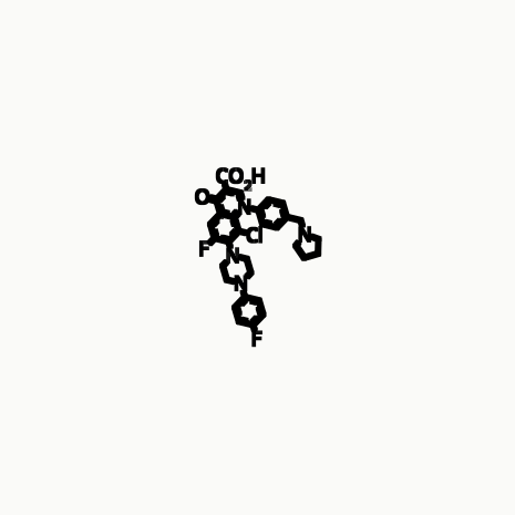 O=C(O)c1cn(-c2ccc(CN3CCCC3)cc2)c2c(Cl)c(N3CCN(c4ccc(F)cc4)CC3)c(F)cc2c1=O